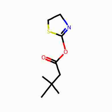 CC(C)(C)CC(=O)OC1=NCCS1